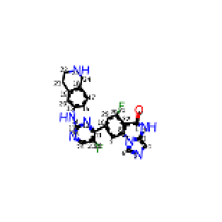 O=c1[nH]c2cncn2c2cc(-c3nc(Nc4ccc5c(c4)CCNC5)ncc3F)cc(F)c12